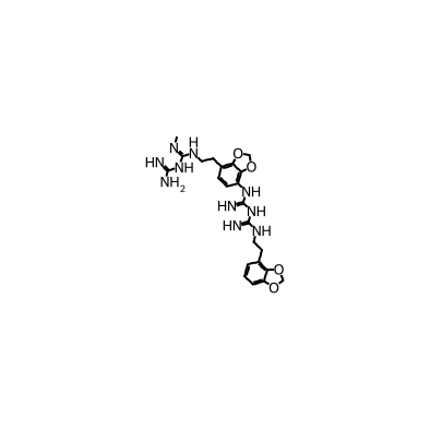 C/N=C(\NCCc1ccc(NC(=N)NC(=N)NCCc2cccc3c2OCO3)c2c1OCO2)NC(=N)N